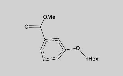 CCCCCCOc1cccc(C(=O)OC)c1